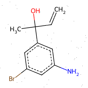 C=CC(C)(O)c1cc(N)cc(Br)c1